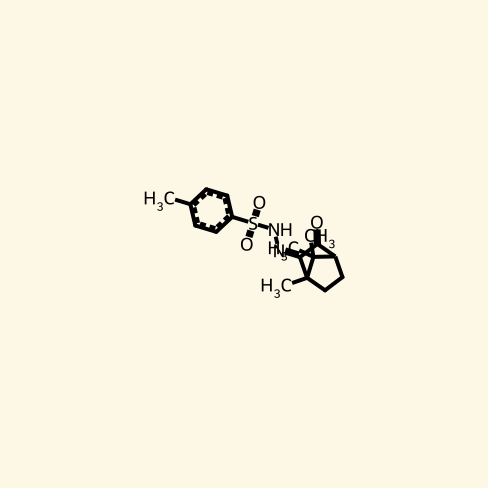 Cc1ccc(S(=O)(=O)NN=C2C(=O)C3CCC2(C)C3(C)C)cc1